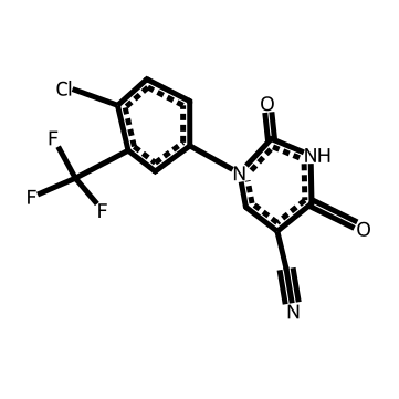 N#Cc1cn(-c2ccc(Cl)c(C(F)(F)F)c2)c(=O)[nH]c1=O